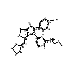 CCCNc1nccc(-c2c(-c3ccc(F)cc3)nc3n2C(C=C2CCCC2)CC3)n1